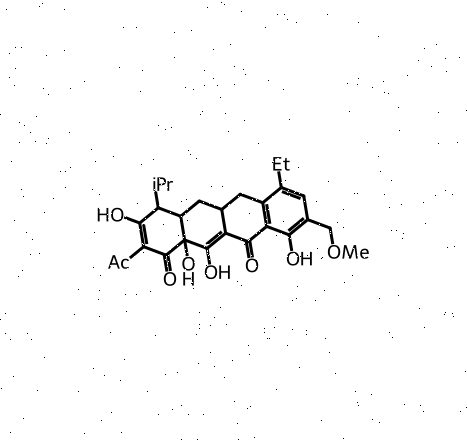 CCc1cc(COC)c(O)c2c1CC1CC3C(C(C)C)C(O)=C(C(C)=O)C(=O)C3(O)C(O)=C1C2=O